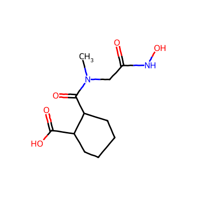 CN(CC(=O)NO)C(=O)C1CCCCC1C(=O)O